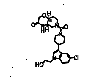 O=C1CO[C@H]2CCN(C(=O)N3CCC(c4cn(CCO)c5ccc(Cl)cc45)CC3)C[C@@H]2N1